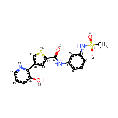 CS(=O)(=O)Nc1cccc(NC(=O)c2cc(-c3ncccc3O)cs2)c1